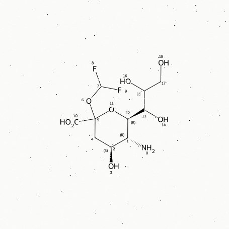 N[C@@H]1[C@@H](O)CC(OC(F)F)(C(=O)O)O[C@H]1C(O)C(O)CO